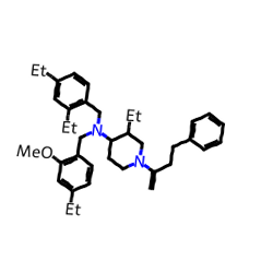 C=C(CCc1ccccc1)N1CCC(N(Cc2ccc(CC)cc2CC)Cc2ccc(CC)cc2OC)C(CC)C1